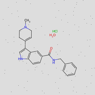 CN1CC=C(c2c[nH]c3ccc(C(=O)NCc4ccccc4)cc23)CC1.Cl.O